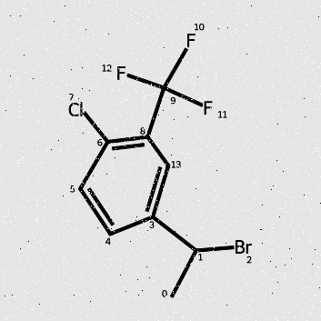 CC(Br)c1ccc(Cl)c(C(F)(F)F)c1